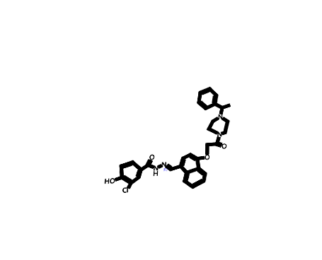 CC(c1ccccc1)N1CCN(C(=O)COc2ccc(/C=N/NC(=O)c3ccc(O)c(Cl)c3)c3ccccc23)CC1